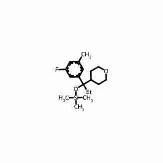 CCC(O[Si](C)(C)C)(c1cc(C)cc(F)c1)C1CCOCC1